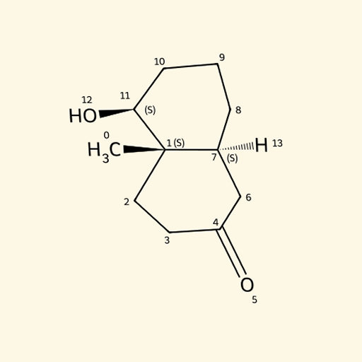 C[C@]12CCC(=O)C[C@@H]1CCC[C@@H]2O